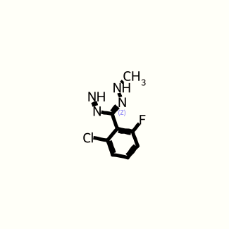 CN/N=C(\N=N)c1c(F)cccc1Cl